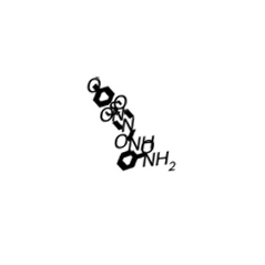 COc1ccc(S(=O)(=O)N2CCN(CC(=O)Nc3ccccc3C(N)=O)CC2)cc1